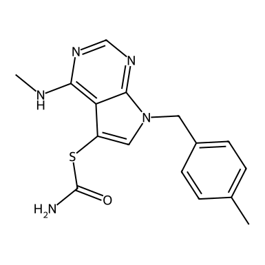 CNc1ncnc2c1c(SC(N)=O)cn2Cc1ccc(C)cc1